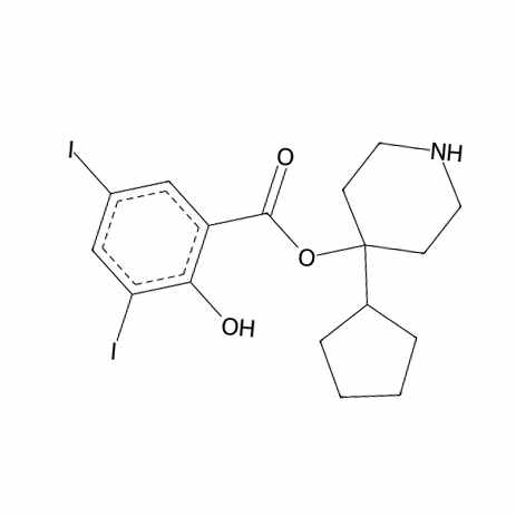 O=C(OC1(C2CCCC2)CCNCC1)c1cc(I)cc(I)c1O